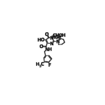 Cc1cc(CNC(=O)c2nc(N3CCCCS3(O)O)n(C)c(=O)c2O)ccc1F